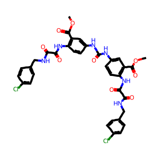 COC(=O)c1cc(NC(=O)Nc2ccc(NC(=O)C(=O)NCc3ccc(Cl)cc3)c(C(=O)OC)c2)ccc1NC(=O)C(=O)NCc1ccc(Cl)cc1